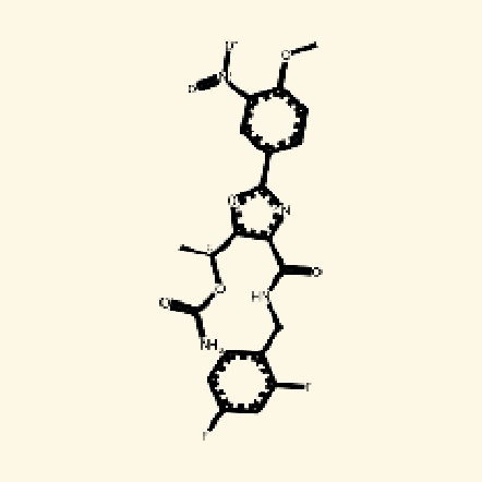 COc1ccc(-c2nc(C(=O)NCc3ccc(F)cc3F)c([C@H](C)OC(N)=O)o2)cc1[N+](=O)[O-]